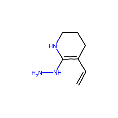 C=CC1=C(NN)NCCC1